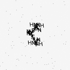 CNC(=N)N(C#N)CCSCc1cnncc1CSCCN(C#N)C(=N)NC